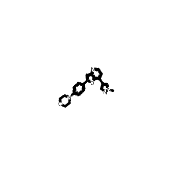 Cn1cc(-c2ccnc3cc(-c4ccc(N5CCOCC5)cc4)oc23)cn1